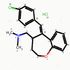 CN(C)CC1CCOc2ccccc2/C1=C/c1ccc(Cl)cc1.Cl